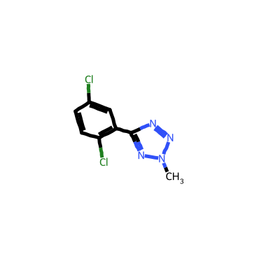 Cn1nnc(-c2cc(Cl)ccc2Cl)n1